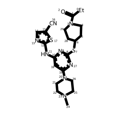 CCC(=O)N1CCC(Sc2nc(Nc3ncc(C#N)s3)cc(N3CCN(C)CC3)n2)CC1